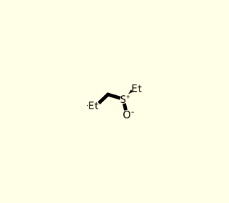 C[CH]C[S@@+]([O-])CC